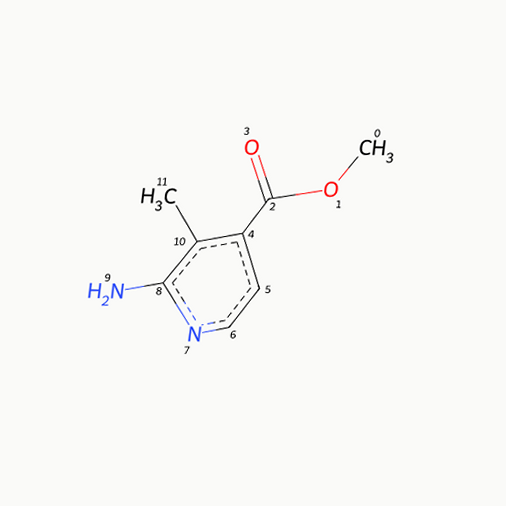 COC(=O)c1ccnc(N)c1C